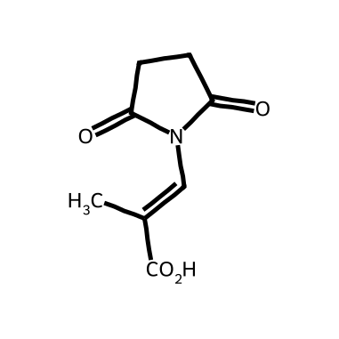 C/C(=C\N1C(=O)CCC1=O)C(=O)O